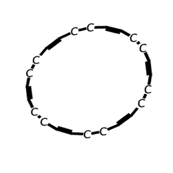 C1=CCCC=CCCC=CCCC=CCCC=CCCC=CCC1